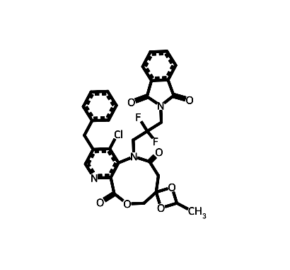 CC1OC2(COC(=O)c3ncc(Cc4ccccc4)c(Cl)c3N(CC(F)(F)CN3C(=O)c4ccccc4C3=O)C(=O)C2)O1